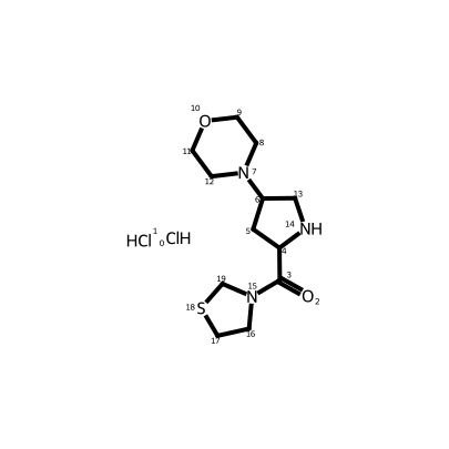 Cl.Cl.O=C(C1CC(N2CCOCC2)CN1)N1CCSC1